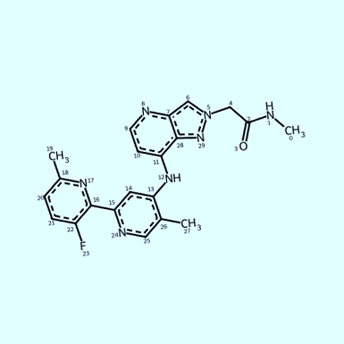 CNC(=O)Cn1cc2nccc(Nc3cc(-c4nc(C)ccc4F)ncc3C)c2n1